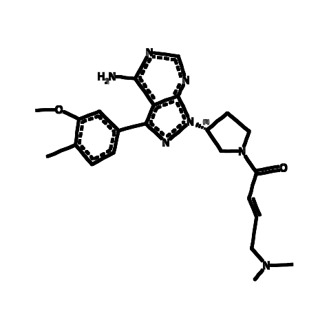 COc1cc(-c2nn([C@@H]3CCN(C(=O)C=CCN(C)C)C3)c3ncnc(N)c23)ccc1C